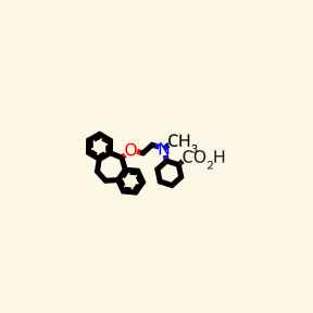 CN(CCOC1c2ccccc2CCc2ccccc21)C1CCCCC1C(=O)O